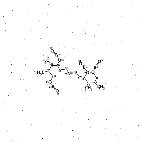 CC(COB=O)C(C)C(CCNCCC(OB=O)C(C)C(C)COB=O)OB=O